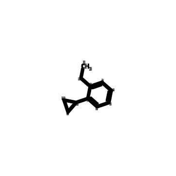 C[CH]c1ccccc1C1CC1